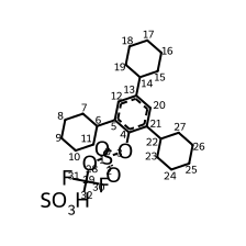 O=S(=O)(Oc1c(C2CCCCC2)cc(C2CCCCC2)cc1C1CCCCC1)OC(F)(F)S(=O)(=O)O